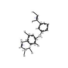 C/C=C(\C)c1cccc(Oc2cc(C)c(/N=C\N(C)CC)cc2C)c1